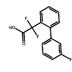 O=C(O)C(F)(F)c1ccccc1-c1cccc(F)c1